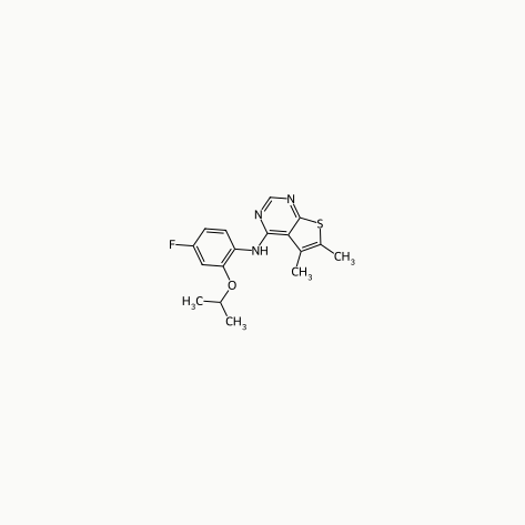 Cc1sc2ncnc(Nc3ccc(F)cc3OC(C)C)c2c1C